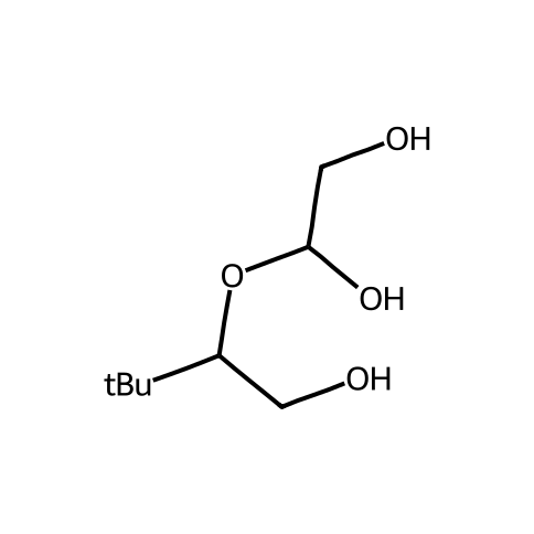 CC(C)(C)C(CO)OC(O)CO